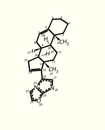 C[C@]12CCCCC1=CC[C@@H]1[C@@H]2CC[C@]2(C)C(c3cnc4occn34)=CC[C@@H]12